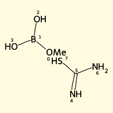 COB(O)O.N=C(N)S